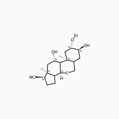 CCO[C@H]1C[C@@]2(C)C(CC[C@@H]3C2[C@@H](O)C[C@@]2(C)C3CC[C@H]2C#N)C[C@@H]1O